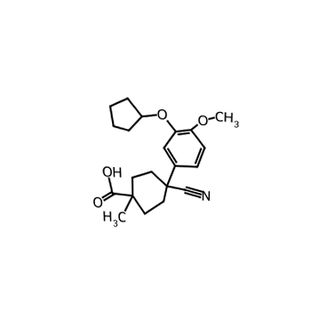 COc1ccc(C2(C#N)CCC(C)(C(=O)O)CC2)cc1OC1CCCC1